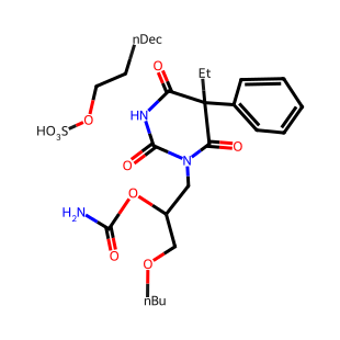 CCCCCCCCCCCCOS(=O)(=O)O.CCCCOCC(CN1C(=O)NC(=O)C(CC)(c2ccccc2)C1=O)OC(N)=O